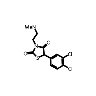 CNCCN1C(=O)SC(c2ccc(Cl)c(Cl)c2)C1=O